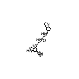 N#CCc1cccc(CNCCC(=O)NCCCNc2cc(-n3cnnc3)cc3[nH]ncc23)c1